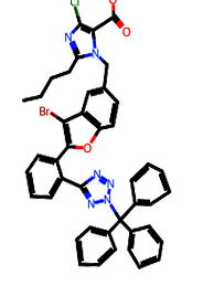 CCCCc1nc(Cl)c(C(=O)OC)n1Cc1ccc2oc(-c3ccccc3-c3nnn(C(c4ccccc4)(c4ccccc4)c4ccccc4)n3)c(Br)c2c1